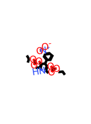 CCCOC(=O)OC1=C(C)NC(C)=C(OC(=O)OC(C)C)C1c1cccc([N+](=O)[O-])c1